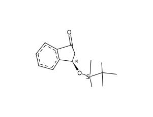 CC(C)(C)[Si](C)(C)O[C@@H]1CC(=O)c2ccccc21